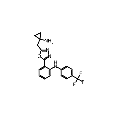 NC1(Cc2nnc(-c3ccccc3Nc3ccc(C(F)(F)F)cc3)o2)CC1